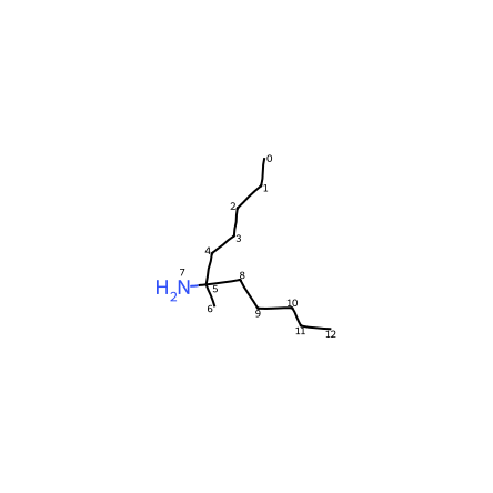 CCCCCC(C)(N)CCCCC